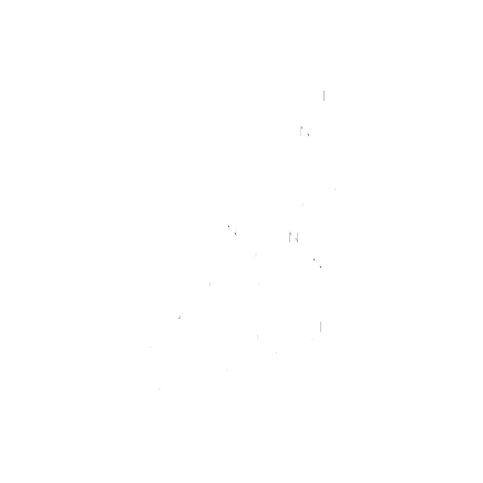 CN1CCc2c(cnc3c(S(=O)(=O)c4ccccc4)c(S)nn23)C1